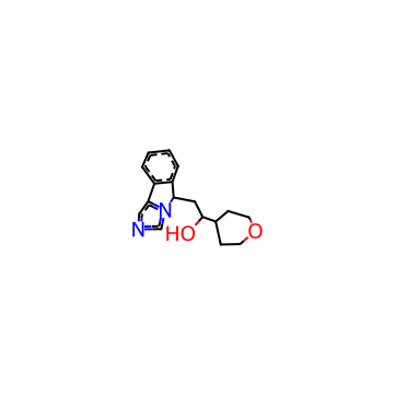 OC(CC1c2ccccc2-c2cncn21)C1CCOCC1